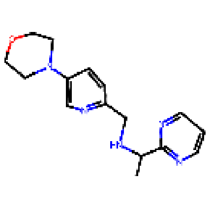 CC(NCc1ccc(N2CCOCC2)cn1)c1ncccn1